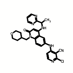 CC(Nc1cc(=O)n(CC2CCOCC2)c2ccc(Nc3ccnc(Cl)c3C#N)cc12)c1ncccn1